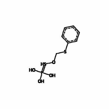 OP(O)(O)=[SH]OCSc1ccccc1